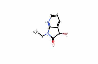 CCN1C(=O)C(Br)c2cccnc21